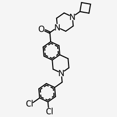 O=C(c1ccc2c(c1)CCN(Cc1ccc(Cl)c(Cl)c1)C2)N1CCN(C2CCC2)CC1